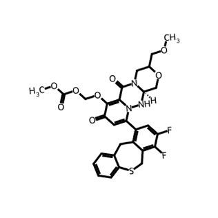 COCC1CN2C(=O)c3c(OCOC(=O)OC)c(=O)cc(-c4cc(F)c(F)c5c4Cc4ccccc4SC5)n3N[C@@H]2CO1